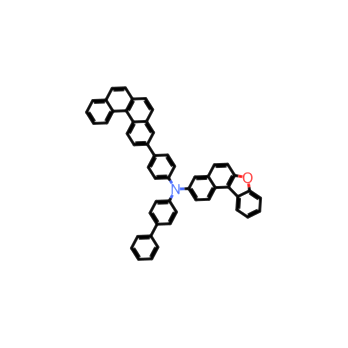 c1ccc(-c2ccc(N(c3ccc(-c4ccc5c(ccc6ccc7ccccc7c65)c4)cc3)c3ccc4c(ccc5oc6ccccc6c54)c3)cc2)cc1